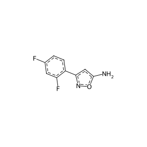 Nc1cc(-c2ccc(F)cc2F)no1